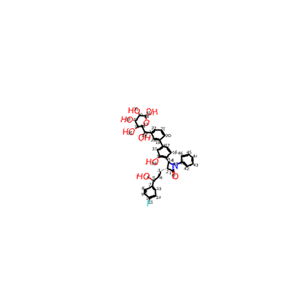 O=C1[C@H](CC[C@H](O)c2ccc(F)cc2)[C@@H](c2ccc(-c3cccc([C@@H](O)[C@H]4O[C@H](O)[C@H](O)[C@@H](O)[C@@H]4O)c3)cc2O)N1c1ccccc1